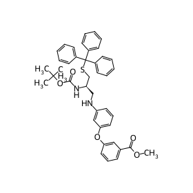 COC(=O)c1cccc(Oc2cccc(NC[C@H](CSC(c3ccccc3)(c3ccccc3)c3ccccc3)NC(=O)OC(C)(C)C)c2)c1